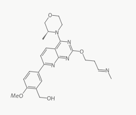 C/N=C/CCOc1nc(N2CCOC[C@@H]2C)c2ccc(-c3ccc(OC)c(CO)c3)nc2n1